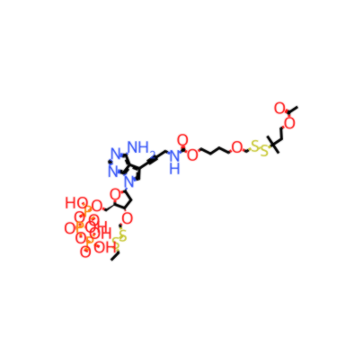 CCSSCO[C@H]1C[C@H](n2cc(C#CCNC(=O)OCCCCOCSSC(C)(C)CCOC(C)=O)c3c(N)ncnc32)O[C@@H]1COP(=O)(O)OP(=O)(O)OP(=O)(O)O